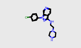 Clc1ccc(-n2nc(NCCN3CCNCC3)c3ccncc32)cc1